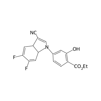 CCOC(=O)c1ccc(N2C=C(C#N)C3C=C(F)C(F)=CC32)cc1O